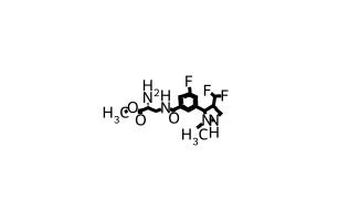 CCN1NCC(C(F)F)C1c1cc(F)cc(C(=O)NC[C@@H](N)C(=O)OC)c1